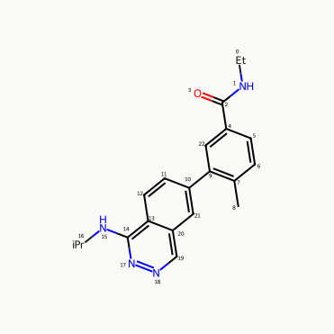 CCNC(=O)c1ccc(C)c(-c2ccc3c(NC(C)C)nncc3c2)c1